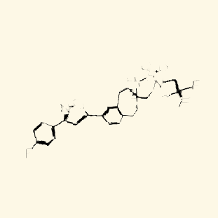 O=S1(=O)NC2(CN1CC(F)(F)F)C1CCC2Cc2cc(-c3cc(-c4ccc(F)cc4)no3)ccc2C1